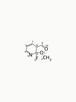 COC1(F)N=CC=CC1C=O